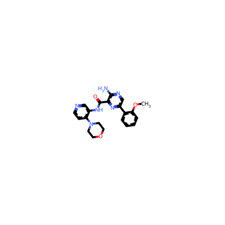 COc1ccccc1-c1cnc(N)c(C(=O)Nc2cnccc2N2CCOCC2)n1